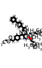 CCO/C=C\c1c(C2CCC(CC(=O)OCC)CC2)nc2c(-c3ccc(-c4ccccc4)nc3)cnn2c1N(COCC[Si](C)(C)C)COCC[Si](C)(C)C